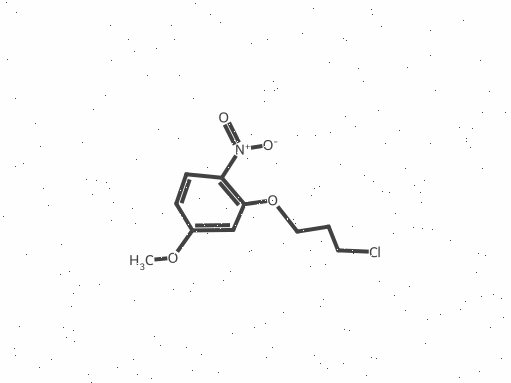 COc1ccc([N+](=O)[O-])c(OCCCCl)c1